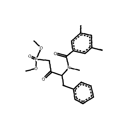 COP(=O)(CC(=O)C(Cc1ccccc1)N(C)C(=O)c1cc(C)cc(C)c1)OC